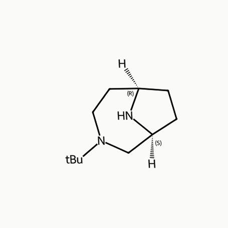 CC(C)(C)N1CC[C@H]2CC[C@@H](C1)N2